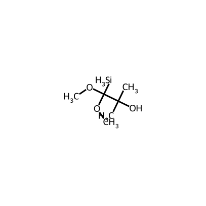 COC([SiH3])(OC)C(C)(C)O